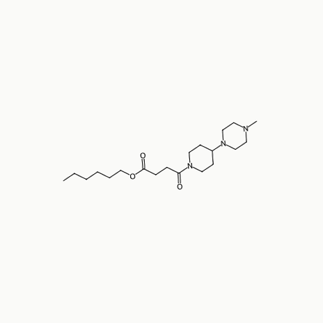 CCCCCCOC(=O)CCC(=O)N1CCC(N2CCN(C)CC2)CC1